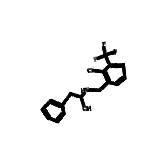 OC(Cc1ccccc1)NCc1cccc(C(F)(F)F)c1Cl